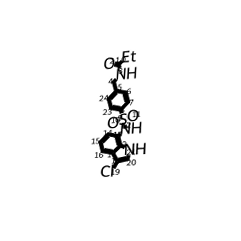 CCC(=O)NCc1ccc(S(=O)(=O)Nc2cccc3c(Cl)c[nH]c23)cc1